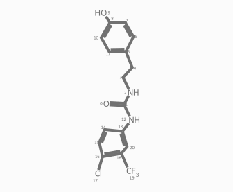 O=C(NCCc1ccc(O)cc1)Nc1ccc(Cl)c(C(F)(F)F)c1